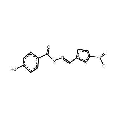 O=C(NN=Cc1ccc([N+](=O)[O-])s1)c1ccc(O)cc1